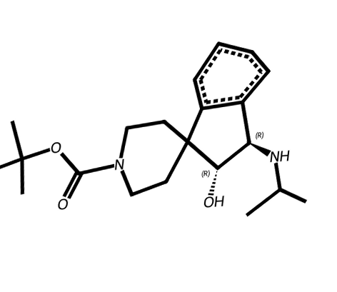 CC(C)N[C@@H]1c2ccccc2C2(CCN(C(=O)OC(C)(C)C)CC2)[C@H]1O